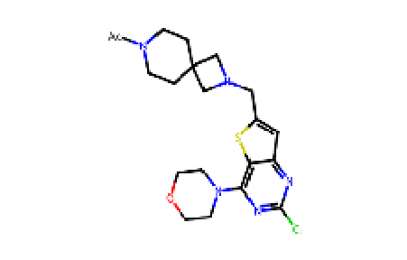 CC(=O)N1CCC2(CC1)CN(Cc1cc3nc(Cl)nc(N4CCOCC4)c3s1)C2